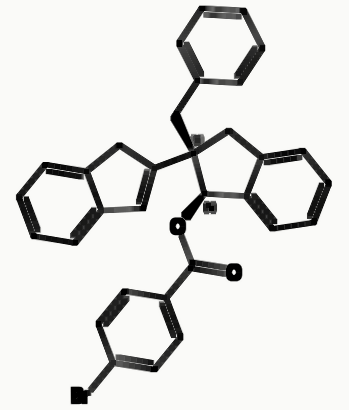 O=C(O[C@@H]1c2ccccc2C[C@@]1(Cc1ccccc1)C1=Cc2ccccc2C1)c1ccc(Br)cc1